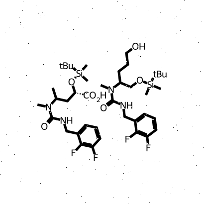 CC(C[C@H](O[Si](C)(C)C(C)(C)C)C(=O)O)N(C)C(=O)NCc1cccc(F)c1F.CN(C(=O)NCc1cccc(F)c1F)C(CCCO)CO[Si](C)(C)C(C)(C)C